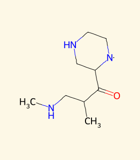 CNCC(C)C(=O)C1CNCC[N]1